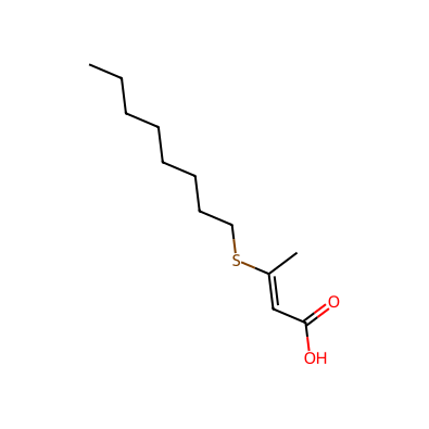 CCCCCCCCS/C(C)=C/C(=O)O